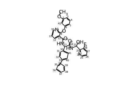 COc1cccc(Oc2ncccc2C(=O)NC(C(=O)NC(O)c2ncccc2F)c2ccc(-c3ccccc3)cc2)c1